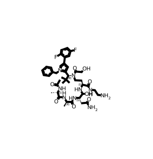 CC(=O)N[C@@H](C)C(=O)N[C@H](C)C(=O)N[C@@H](CC(N)=O)C(O)N[C@@H](CCN(C(=O)CO)[C@@H](c1cc(-c2cc(F)ccc2F)cn1Cc1ccccc1)C(C)(C)C)C(=O)NCCN